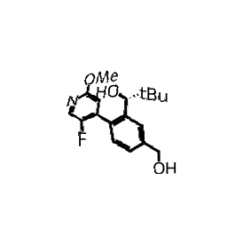 COc1cc(-c2ccc(CO)cc2[C@H](O)C(C)(C)C)c(F)cn1